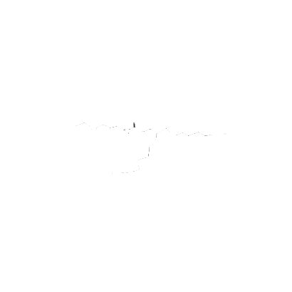 CCCCCCCCCCCCCCOCC(COC(=O)NCCCOCCO)OCCCCCCCCCCCCCC